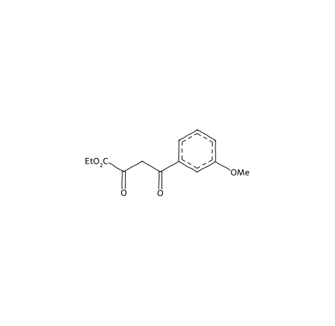 CCOC(=O)C(=O)CC(=O)c1cccc(OC)c1